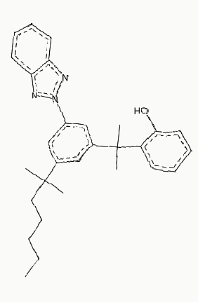 CCCCCC(C)(C)c1cc(-n2nc3ccccc3n2)cc(C(C)(C)c2ccccc2O)c1